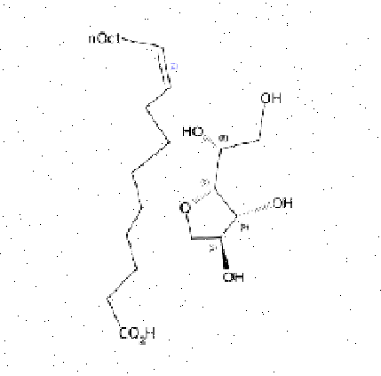 CCCCCCCC/C=C\CCCCCCCC(=O)O.OC[C@@H](O)[C@H]1OC[C@H](O)[C@H]1O